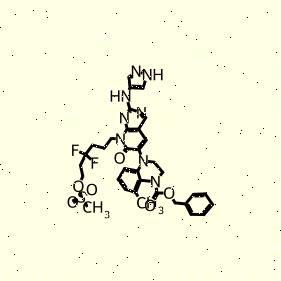 Cc1cccc2c1N(C(=O)OCc1ccccc1)CCN2c1cc2cnc(Nc3cn[nH]c3)nc2n(CCCC(F)(F)CCOS(C)(=O)=O)c1=O